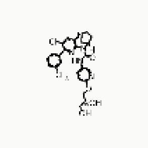 O=C(Nc1ccc(OC[C@H](O)CO)nc1)N1c2nc(-c3cccc(C(F)(F)F)c3)c(Cl)cc2N2CC[C@H]1C2